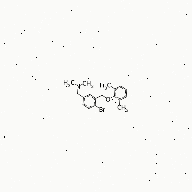 Cc1cccc(C)c1OCc1cc(CN(C)C)ccc1Br